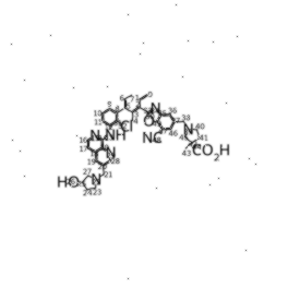 C=C/C(=C(C)\C(=C/C)c1cccc(Nc2nccc3cc(CN4CC[C@H](O)C4)cnc23)c1Cl)c1nc2cc(CN3CC[C@@](C)(C(=O)O)C3)cc(C#N)c2o1